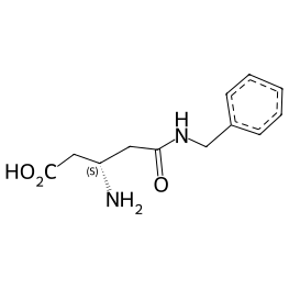 N[C@H](CC(=O)O)CC(=O)NCc1ccccc1